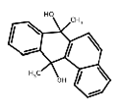 CC1(O)c2ccccc2C(C)(O)c2c1ccc1ccccc21